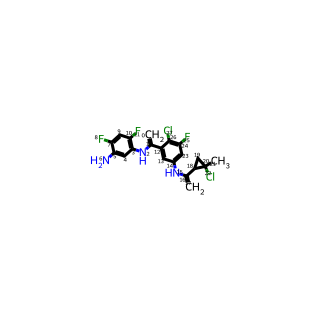 C=C(Nc1cc(N)c(F)cc1F)c1cc(NC(=C)C2CC2(C)Cl)cc(F)c1Cl